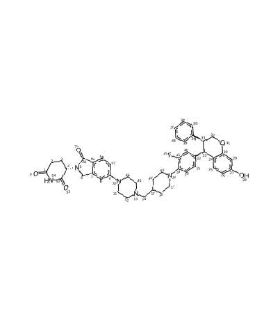 O=C1CC[C@H](N2Cc3cc(N4CCN(CC5CCN(c6ccc(C7c8ccc(O)cc8OC[C@@H]7c7ccccc7)cc6F)CC5)CC4)ccc3C2=O)C(=O)N1